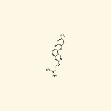 CCCN(CCC)CCOc1cc2nccc(Oc3ccc(N)cc3F)c2cn1